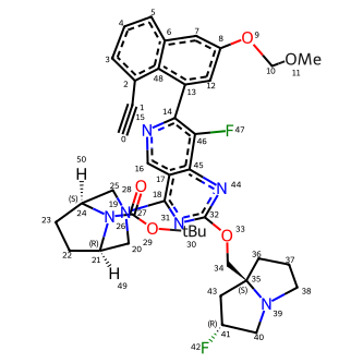 C#Cc1cccc2cc(OCOC)cc(-c3ncc4c(N5C[C@H]6CC[C@@H](C5)N6C(=O)OC(C)(C)C)nc(OC[C@@]56CCCN5C[C@H](F)C6)nc4c3F)c12